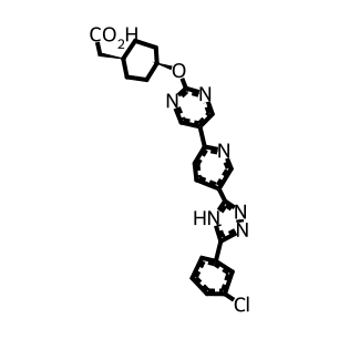 O=C(O)C[C@H]1CC[C@@H](Oc2ncc(-c3ccc(-c4nnc(-c5cccc(Cl)c5)[nH]4)cn3)cn2)CC1